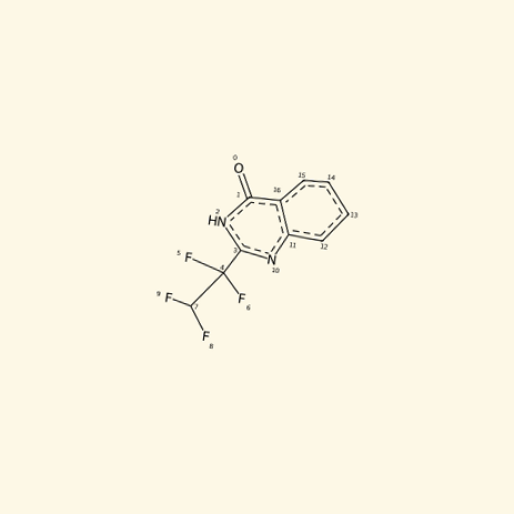 O=c1[nH]c(C(F)(F)C(F)F)nc2ccccc12